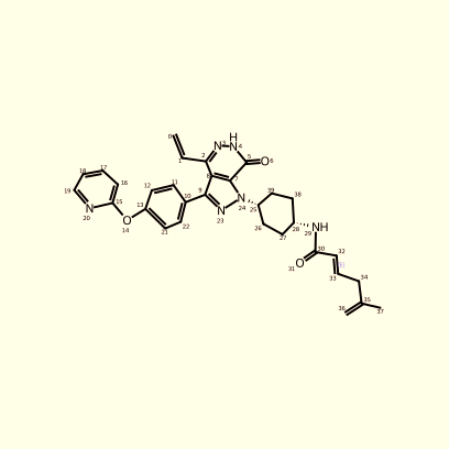 C=Cc1n[nH]c(=O)c2c1c(-c1ccc(Oc3ccccn3)cc1)nn2[C@H]1CC[C@@H](NC(=O)/C=C/CC(=C)C)CC1